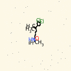 CC(C)C(C)NC(=O)C=CC=CC1C(c2ccc(Cl)c(Cl)c2)C1(C)C